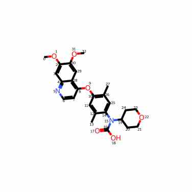 COc1cc2nccc(Oc3cc(C)c(N(C(=O)O)C4CCOCC4)cc3C)c2cc1OC